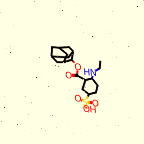 CCNC1CCC(S(=O)(=O)O)CC1C(=O)OC1C2CC3CC(C2)CC1C3